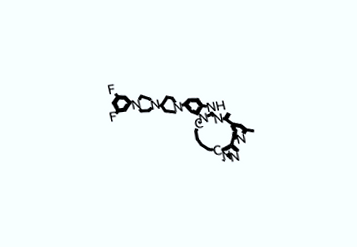 C=C1/N=C2\Nc3ccc(N4CCC(N5CCN(c6cc(F)cc(F)c6)CC5)CC4)cc3N2CCCCCCc2c(cnn2C)-c2cc1cc(C)n2